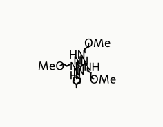 COCCCNc1nc(NCCCOC)c(N=Nc2ccc(C)cc2)c(NCCCOC)n1